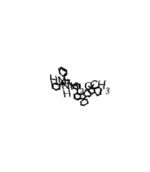 CC1(C)C2=CC=CCC2c2cc3c(cc21)-c1c(-c2cccc(C4C=C(c5ccccc5)NC(c5ccccc5)N4)c2)cccc1C31CCCCC1